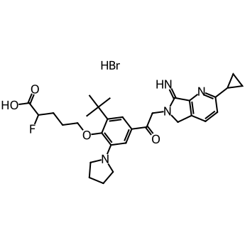 Br.CC(C)(C)c1cc(C(=O)CN2Cc3ccc(C4CC4)nc3C2=N)cc(N2CCCC2)c1OCCCC(F)C(=O)O